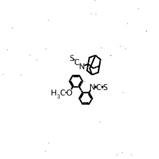 COc1ccccc1-c1ccccc1N=C=S.S=C=NC12CC3CC(CC(C3)C1)C2